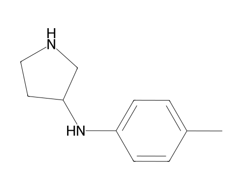 Cc1ccc(NC2CCNC2)cc1